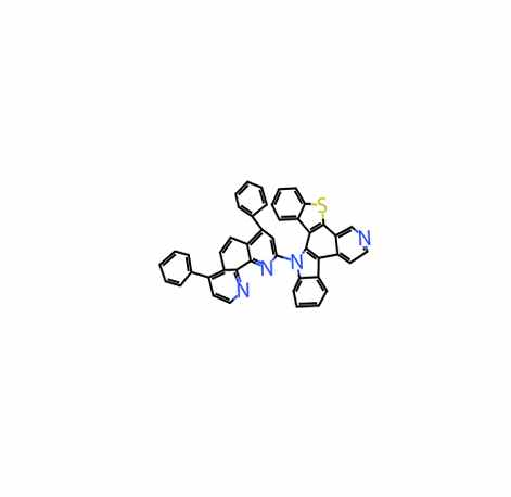 c1ccc(-c2ccnc3c2ccc2c(-c4ccccc4)cc(-n4c5ccccc5c5c6ccncc6c6sc7ccccc7c6c54)nc23)cc1